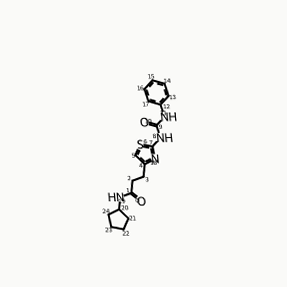 O=C(CCc1csc(NC(=O)Nc2ccccc2)n1)NC1CCCC1